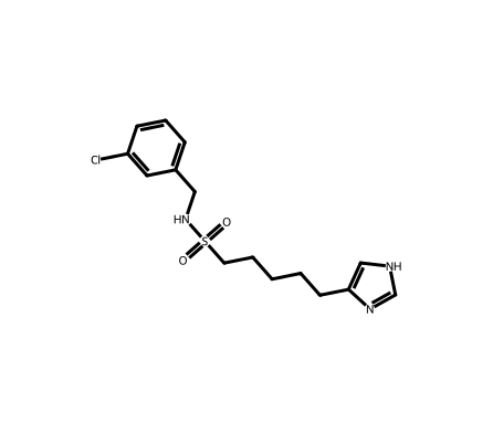 O=S(=O)(CCCCCc1c[nH]cn1)NCc1cccc(Cl)c1